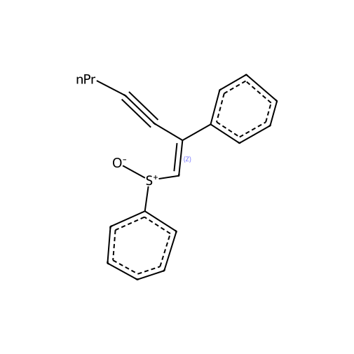 CCCC#C/C(=C\[S+]([O-])c1ccccc1)c1ccccc1